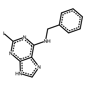 Ic1nc(NCc2ccccc2)c2nc[nH]c2n1